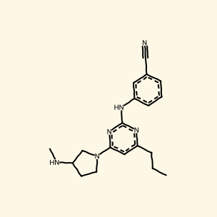 CCCc1cc(N2CCC(NC)C2)nc(Nc2cccc(C#N)c2)n1